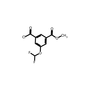 COC(=O)c1cc(OC(F)F)cc(C(=O)Cl)c1